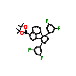 CC1(C)OB(c2ccc3c4c(cccc24)-c2c(-c4cc(F)cc(F)c4)ccc(-c4cc(F)cc(F)c4)c2-3)OC1(C)C